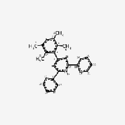 Cc1cc(C)c(C)c(-c2cc(-c3ccccc3)nc(-c3ccccc3)c2)c1C